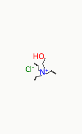 C=CC[N+](CC=C)(CC=C)CCCO.[Cl-]